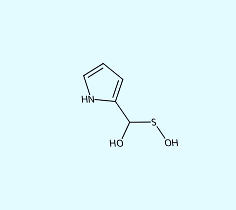 OSC(O)c1ccc[nH]1